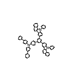 c1ccc(-c2ccc(N(c3ccc(-c4ccccc4)cc3)c3ccc(-c4cc(-c5ccc6c(c5)c5ccc7ccccc7c5n6-c5ccccc5)cc(-c5ccc6c(c5)c5ccc7ccccc7c5n6-c5ccccc5)c4)cc3)cc2)cc1